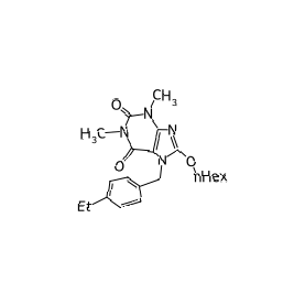 CCCCCCOc1nc2c(c(=O)n(C)c(=O)n2C)n1Cc1ccc(CC)cc1